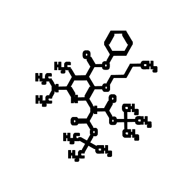 CCCCOc1c(N(C(=O)OC(C)(C)C)C(=O)OC(C)(C)C)nc(N(C)C)c(C)c1C(=O)Oc1ccccc1